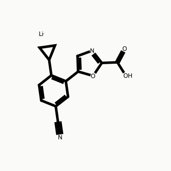 N#Cc1ccc(C2CC2)c(-c2cnc(C(=O)O)o2)c1.[Li]